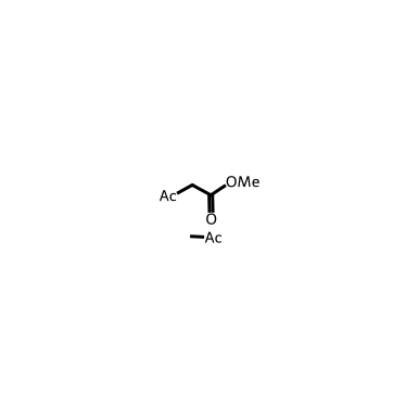 CC(C)=O.COC(=O)CC(C)=O